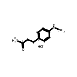 Cl.NNc1ccc(CCC(N)=O)cc1